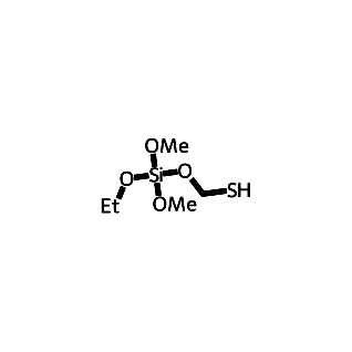 CCO[Si](OC)(OC)OCS